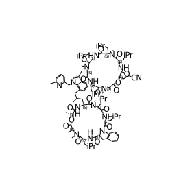 Cc1cccc(Cn2cc(C[C@H]3C(=O)N[C@@H](CC(C)C)C(=O)N(C)[C@@H](C)C(=O)O[C@H](CCC#N)C(=O)N[C@@H](CC(C)C)C(=O)N(C)[C@@H](CC(C)C)C(=O)N[C@@H](CC(C)C)C(=O)N3C)c3cccc(CC(C)C[C@@H]4NC(=O)[C@@H](C)OC(=O)[C@H](C)N(C)C(=O)[C@H](CC(C)C)NC(=O)[C@H](Cc5ccccc5)N(C)C(=O)[C@H](CC(C)C)NC(=O)[C@H](CC(C)C)N(C)C4=O)c32)n1